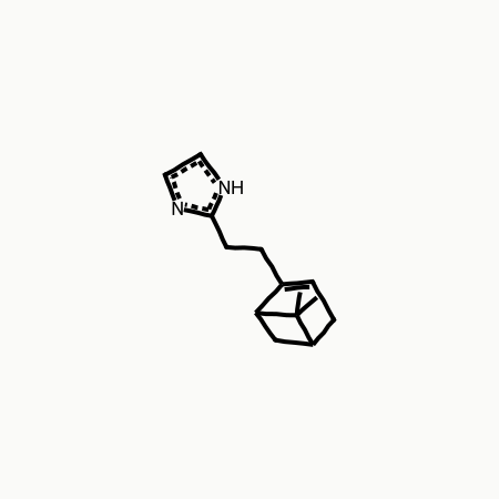 CC1(C)C2CC=C(CCc3ncc[nH]3)C1C2